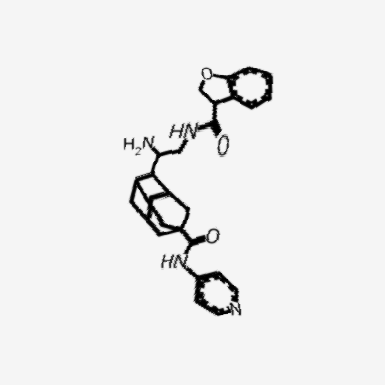 NC(CNC(=O)C1COc2ccccc21)C1C2CC3CC1CC(C(=O)Nc1ccncc1)(C3)C2